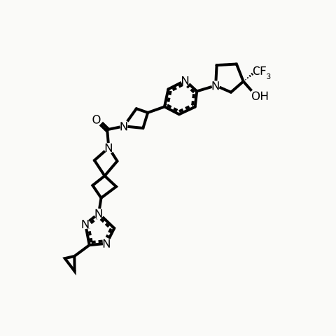 O=C(N1CC(c2ccc(N3CC[C@](O)(C(F)(F)F)C3)nc2)C1)N1CC2(CC(n3cnc(C4CC4)n3)C2)C1